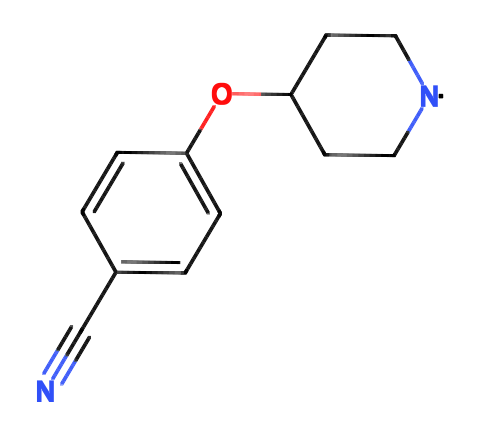 N#Cc1ccc(OC2CC[N]CC2)cc1